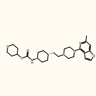 Cc1cc2occc2c(N2CCN(CC[C@H]3CC[C@H](NC(=O)OC4CCOCC4)CC3)CC2)n1